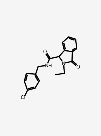 CCN1C(=O)c2c[c]ccc2C1C(=O)NCc1ccc(Cl)cc1